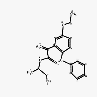 C=C(C(=O)OC(C)CO)c1cc(OCC)ccc1Oc1ccccc1